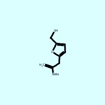 C=C(Cc1ccc(CS)o1)NC